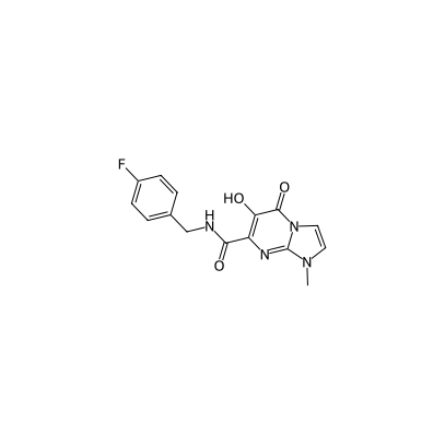 Cn1ccn2c(=O)c(O)c(C(=O)NCc3ccc(F)cc3)nc12